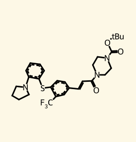 CC(C)(C)OC(=O)N1CCN(C(=O)C=Cc2ccc(Sc3ccccc3N3CCCC3)c(C(F)(F)F)c2)CC1